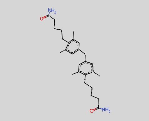 Cc1cc(Cc2cc(C)c(CCCCC(N)=O)c(C)c2)cc(C)c1CCCCC(N)=O